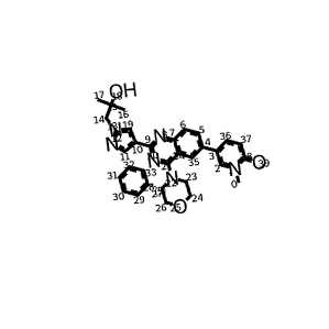 Cn1cc(-c2ccc3nc(-c4cnn(CC(C)(C)O)c4)nc(N4CCOC[C@@H]4c4ccccc4)c3c2)ccc1=O